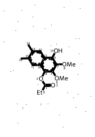 CCC(=O)Oc1c(OC)c(OC)c(O)c2cc(C)c(C)cc12